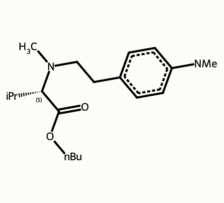 CCCCOC(=O)[C@H](C(C)C)N(C)CCc1ccc(NC)cc1